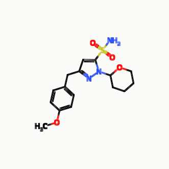 COc1ccc(Cc2cc(S(N)(=O)=O)n(C3CCCCO3)n2)cc1